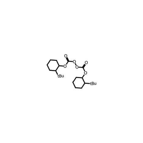 CC(C)(C)C1CCCCC1OC(=O)OOC(=O)OC1CCCCC1C(C)(C)C